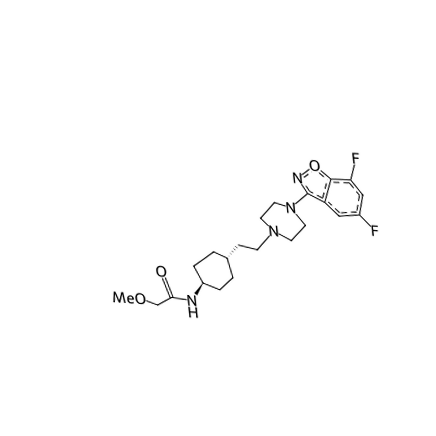 COCC(=O)N[C@H]1CC[C@H](CCN2CCN(c3noc4c(F)cc(F)cc34)CC2)CC1